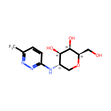 OC[C@H]1OC[C@H](Nc2ccc(C(F)(F)F)nn2)[C@@H](O)[C@H]1O